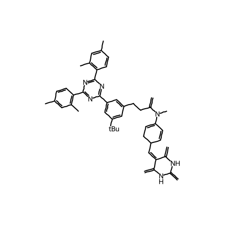 C=C1NC(=C)C(=CC2C=CC(N(C)C(=C)CCc3cc(-c4nc(-c5ccc(C)cc5C)nc(-c5ccc(C)cc5C)n4)cc(C(C)(C)C)c3)=CC2)C(=C)N1